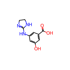 O=C(O)c1cc(O)cc(NC2=NCCN2)c1